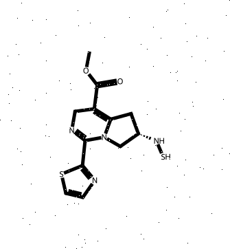 COC(=O)C1=C2C[C@H](NS)CN2C(c2nccs2)=NC1